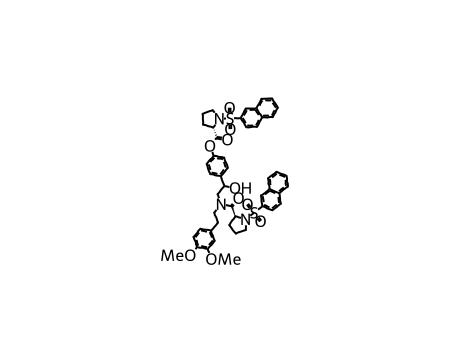 COc1ccc(CCN(CC(O)c2ccc(OC(=O)[C@@H]3CCCN3S(=O)(=O)c3ccc4ccccc4c3)cc2)C(=O)[C@@H]2CCCN2S(=O)(=O)c2ccc3ccccc3c2)cc1OC